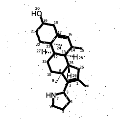 CC1=C(C2CCCN2)[C@@]2(C)CC[C@@H]3[C@@H](C(C)C=C4CC(O)CC[C@@]43C)[C@@H]2C1